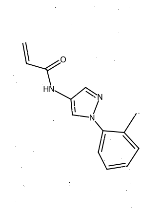 [CH2]c1ccccc1-n1cc(NC(=O)C=C)cn1